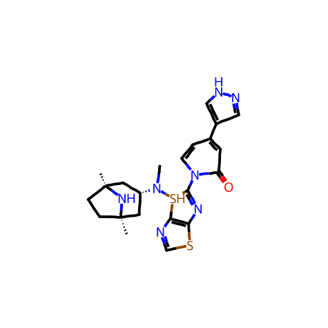 CN([C@H]1C[C@]2(C)CC[C@](C)(C1)N2)[SH]1C(n2ccc(-c3cn[nH]c3)cc2=O)=Nc2scnc21